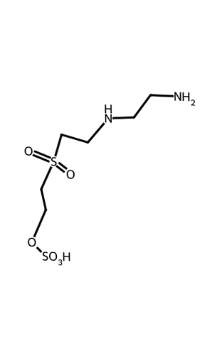 NCCNCCS(=O)(=O)CCOS(=O)(=O)O